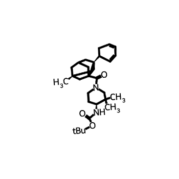 CC(C)(C)OC(=O)N[C@H]1CCN(C(=O)C23CC4C[C@@](C)(C2)C[C@](C2C=CC=CC2)(C4)C3)CC1(C)C